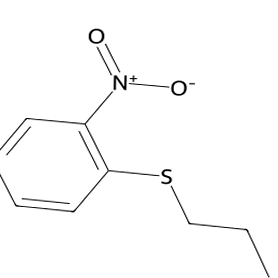 CCCSc1ccncc1[N+](=O)[O-]